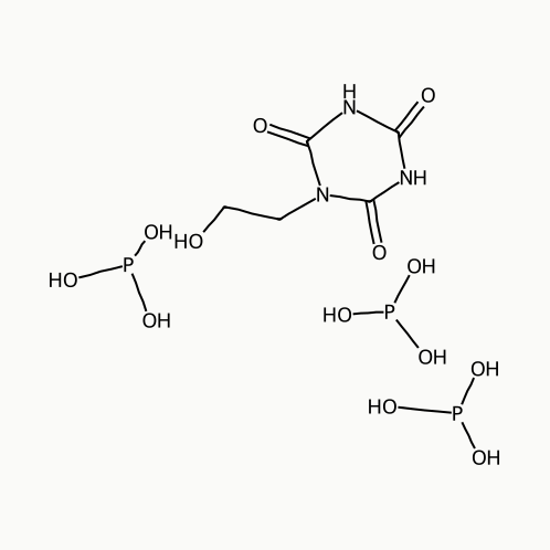 O=c1[nH]c(=O)n(CCO)c(=O)[nH]1.OP(O)O.OP(O)O.OP(O)O